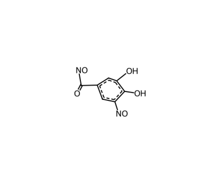 O=NC(=O)c1cc(O)c(O)c(N=O)c1